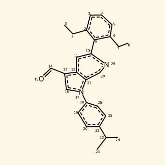 CCc1cccc(CC)c1-c1cc2c(C=O)cn(-c3ccc(C(C)C)cc3)c2cn1